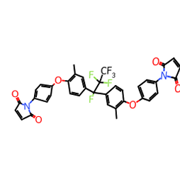 Cc1cc(C(F)(c2ccc(Oc3ccc(N4C(=O)C=CC4=O)cc3)c(C)c2)C(F)(F)C(F)(F)F)ccc1Oc1ccc(N2C(=O)C=CC2=O)cc1